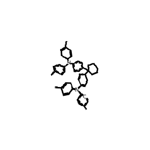 CC1=CCC(N(C2=CCC(C3(c4ccc(N(c5ccc(C)cc5)C5C=CC(C)=CC5)cc4)CCCCC3)C=C2)c2ccc(C)cc2)C=C1